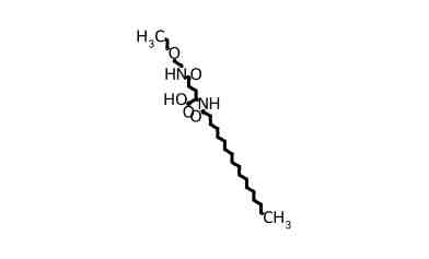 CCCCCCCCCCCCCCCCCC(=O)NC(CCC(=O)NCCOCCC)C(=O)O